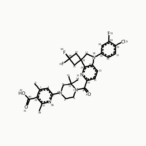 Cc1cc(N2CCN(C(=O)c3ccc4c(n3)C3(CN4c4ccc(Cl)c(F)c4)CC(F)(F)C3)C(C)(C)C2)nc(C)c1C(=O)O